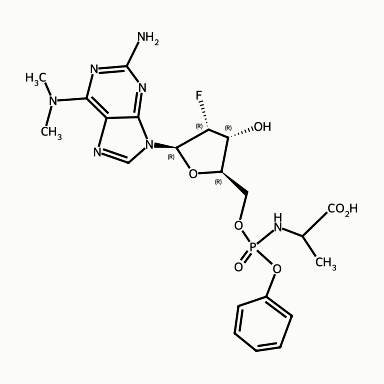 CC(NP(=O)(OC[C@H]1O[C@@H](n2cnc3c(N(C)C)nc(N)nc32)[C@H](F)[C@@H]1O)Oc1ccccc1)C(=O)O